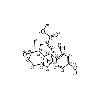 CC[C@@]12CC(C(=O)OC)=C3Nc4cc(OC)ccc4[C@@]34CCN(CC3OC31)[C@@H]24